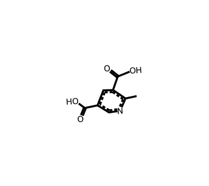 Cc1ncc(C(=O)O)cc1C(=O)O